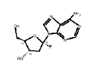 Nc1ncnc2c1ncn2[C@@]1(F)C[C@H](O)[C@@H](CO)O1